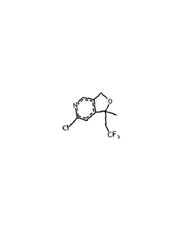 CC1(CC(F)(F)F)OCc2cnc(Cl)cc21